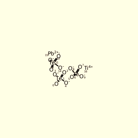 O=[Te](=O)([O-])[O-].O=[Te](=O)([O-])[O-].O=[Te](=O)([O-])[O-].[Pb+2].[Ti+4]